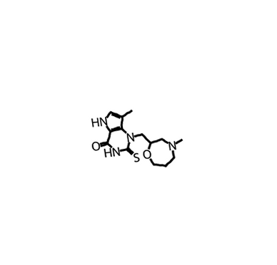 Cc1c[nH]c2c(=O)[nH]c(=S)n(CC3CN(C)CCCO3)c12